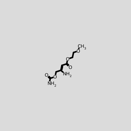 COCCOC(=O)C=C(N)COC(N)=O